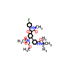 CNC(=O)c1c(-c2ccc(F)cc2)oc2cc(N(CCOC)S(C)(=O)=O)c(-c3cccc(C(=O)NC(C)(C)C)c3)cc12